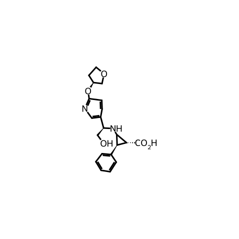 O=C(O)[C@H]1C(N[C@@H](CO)c2ccc(O[C@H]3CCOC3)nc2)[C@@H]1c1ccccc1